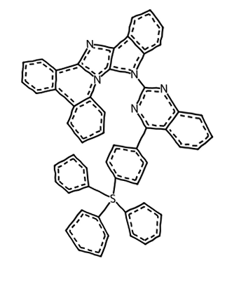 c1ccc(S(c2ccccc2)(c2ccccc2)c2ccc(-c3nc(-n4c5ccccc5c5nc6c7ccccc7c7ccccc7n6c54)nc4ccccc34)cc2)cc1